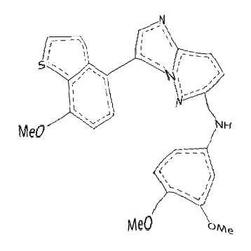 COc1ccc(Nc2ccc3ncc(-c4ccc(OC)c5sccc45)n3n2)cc1OC